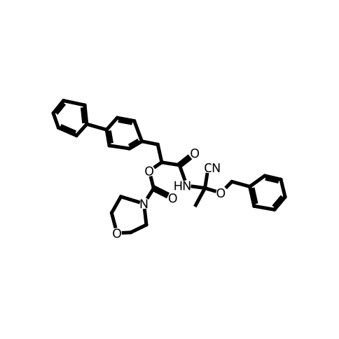 CC(C#N)(NC(=O)C(Cc1ccc(-c2ccccc2)cc1)OC(=O)N1CCOCC1)OCc1ccccc1